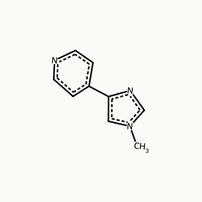 Cn1cnc(-c2ccncc2)c1